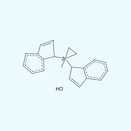 Cl.[CH3][Zr]1([CH]2C=Cc3ccccc32)([CH]2C=Cc3ccccc32)[CH2][CH2]1